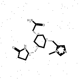 Cn1cncc1C[C@H]1C[C@@H](CC(N)=O)C[C@@H](C[C@@H]2CCC(=O)N2)C1